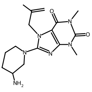 C=C(C)Cn1c(N2CCCC(N)C2)nc2c1c(=O)n(C)c(=O)n2C